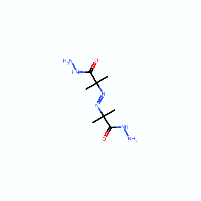 CC(C)(N=NC(C)(C)C(=O)NN)C(=O)NN